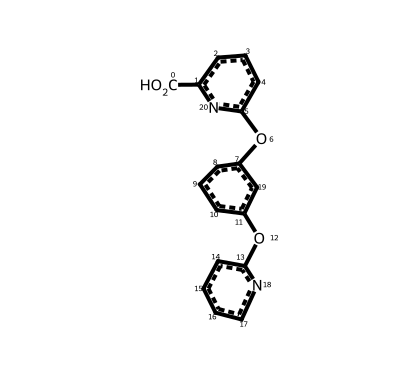 O=C(O)c1cccc(Oc2cccc(Oc3ccccn3)c2)n1